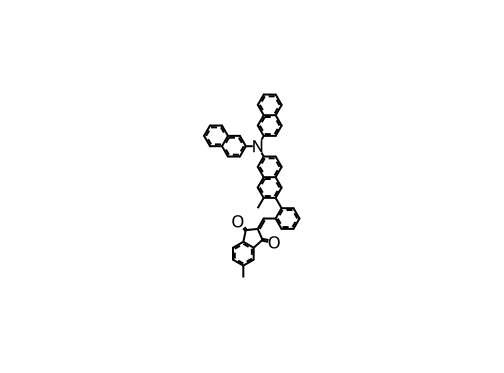 Cc1ccc2c(c1)C(=O)C(=Cc1ccccc1-c1cc3ccc(N(c4ccc5ccccc5c4)c4ccc5ccccc5c4)cc3cc1C)C2=O